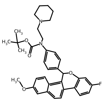 COc1ccc2c3c(ccc2c1)-c1ccc(F)cc1OC3c1ccc(N(CCN2CCCCC2)C(=O)OC(C)(C)C)cc1